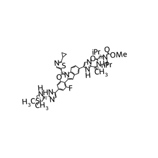 CCCN(C(=O)[C@@H](NC(=O)OC)C(C)C)[C@@H](C)c1ncc(-c2ccc3c(c2)cc2n3[C@H](c3cnc(C4CC4)s3)Oc3cc(-c4cnc([C@@H]5C[Si](C)(C)CN5)[nH]4)cc(F)c3-2)[nH]1